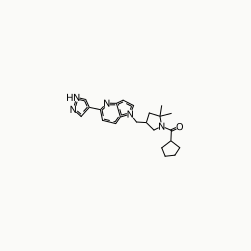 CC1(C)CC(Cn2ccc3nc(-c4cn[nH]c4)ccc32)CN1C(=O)C1CCCC1